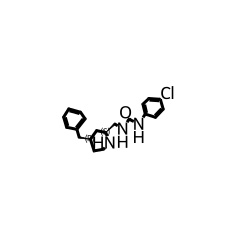 O=C(NC[C@@H]1C[C@H](Cc2ccccc2)CCN1)Nc1ccc(Cl)cc1